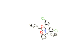 C=CC[C@H]1O[C@H](c2cccc(Cl)c2)[C@H](c2ccc(Cl)cc2)N([C@H](C(=O)OCC)c2ccccc2)C1=O